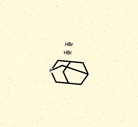 Br.Br.C1C2CC3CC1CP(C2)C3